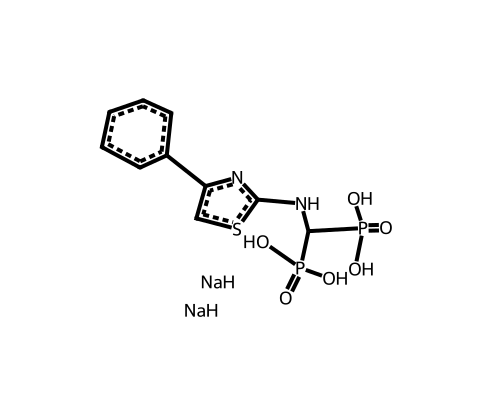 O=P(O)(O)C(Nc1nc(-c2ccccc2)cs1)P(=O)(O)O.[NaH].[NaH]